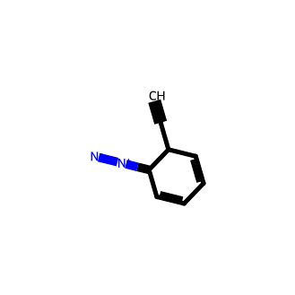 C#CC1C=CC=CC1=[N+]=[N-]